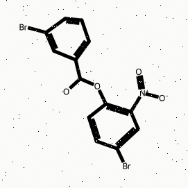 [O]C(Oc1ccc(Br)cc1[N+](=O)[O-])c1cccc(Br)c1